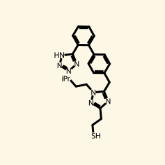 CC(C)CCn1nc(CCS)nc1Cc1ccc(-c2ccccc2-c2nnn[nH]2)cc1